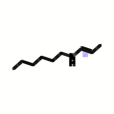 C/C=C/NCCCCCC